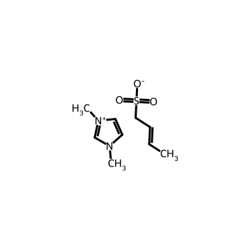 CC=CCS(=O)(=O)[O-].Cn1cc[n+](C)c1